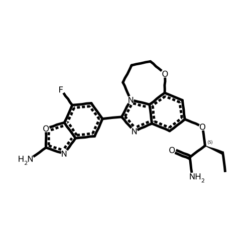 CC[C@H](Oc1cc2c3c(c1)nc(-c1cc(F)c4oc(N)nc4c1)n3CCCO2)C(N)=O